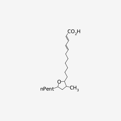 CCCCCC1CC(C)C(CCCCCC/C=C/C=C/C(=O)O)O1